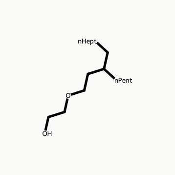 CCCCCCCCC(CCCCC)CCOCCO